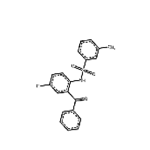 Cc1cccc(S(=O)(=O)Nc2ccc(Cl)cc2C(=O)c2ccccc2)c1